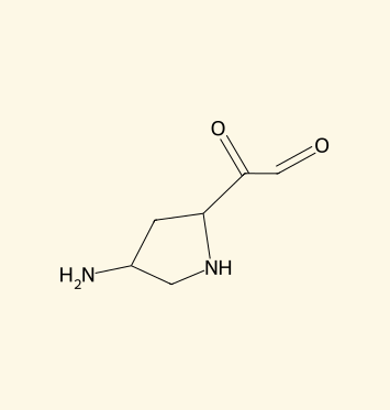 NC1CNC(C(=O)C=O)C1